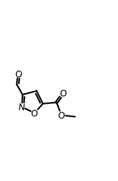 COC(=O)c1cc(C=O)no1